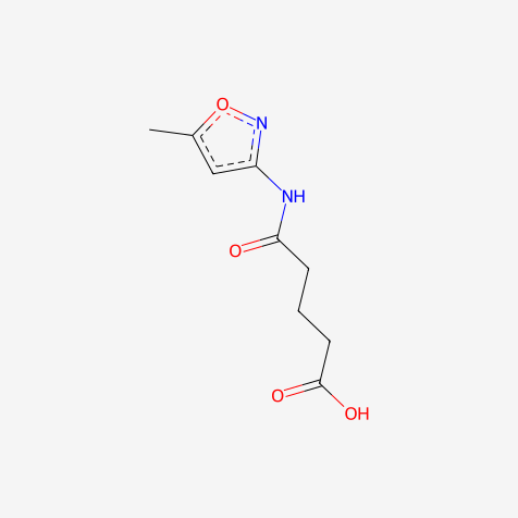 Cc1cc(NC(=O)CCCC(=O)O)no1